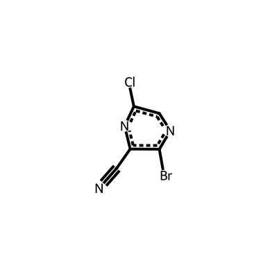 N#Cc1nc(Cl)cnc1Br